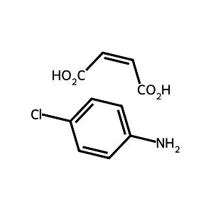 Nc1ccc(Cl)cc1.O=C(O)/C=C\C(=O)O